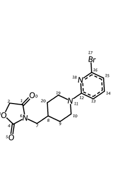 O=C1COC(=O)N1CC1CCN(c2cccc(Br)n2)CC1